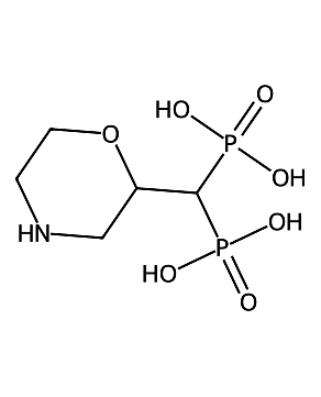 O=P(O)(O)C(C1CNCCO1)P(=O)(O)O